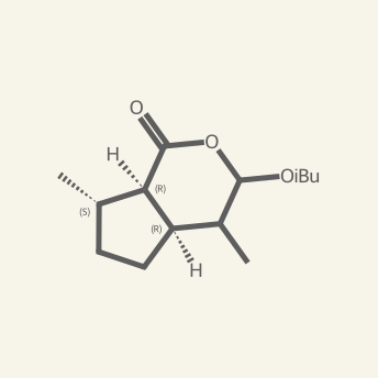 CC(C)COC1OC(=O)[C@H]2[C@H](CC[C@@H]2C)C1C